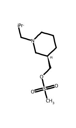 C[C](C)CN1CCC[C@@H](COS(C)(=O)=O)C1